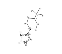 CC(C)(C)C1CCN(n2cncn2)CC1